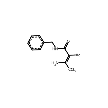 CC(=O)C(C(=O)NCc1ccccc1)=C(N)C(Cl)(Cl)Cl